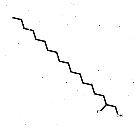 CCCCCCCCCCCCCCCCC(Cl)CO